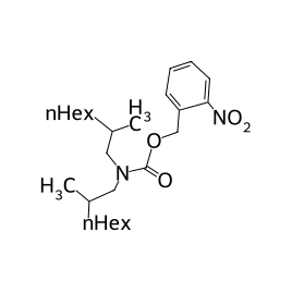 CCCCCCC(C)CN(CC(C)CCCCCC)C(=O)OCc1ccccc1[N+](=O)[O-]